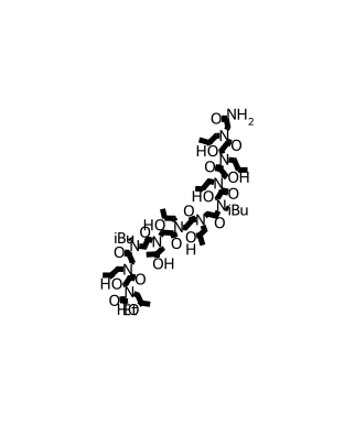 CCC(=O)N(CC(=O)N(CC(=O)N(CC(=O)N(CC(=O)N(CC(=O)N(CC(=O)N(CC(=O)N(CC(=O)N(CC(=O)N(CC(N)=O)CC(C)O)CC(C)O)CC(C)O)C(C)CC)CC(C)O)CC(C)O)CC(C)O)C(C)CC)CC(C)O)CC(C)O